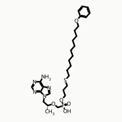 C[C@H](Cn1cnc2c(N)ncnc21)OCP(=O)(O)OCCCSCCCCCCCCCCCOc1ccccc1